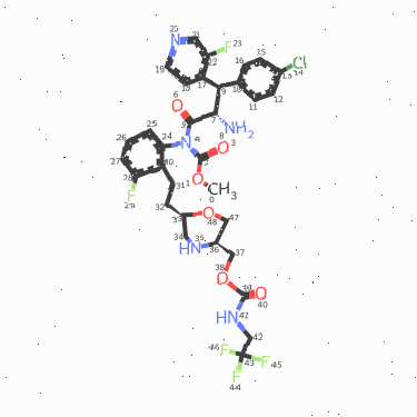 COC(=O)N(C(=O)[C@@H](N)C(c1ccc(Cl)cc1)c1ccncc1F)c1cccc(F)c1CC[C@@H]1CN[C@H](COC(=O)NCC(F)(F)F)CO1